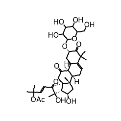 CC(=O)OC(C)(C)/C=C/C(=O)C(C)(O)[C@H]1[C@H](O)C[C@@]2(C)[C@@H]3CC=C4[C@@H](C[C@H](OC5OC(CO)C(O)C(O)C5O)C(=O)C4(C)C)[C@]3(C)C(=O)C[C@]12C